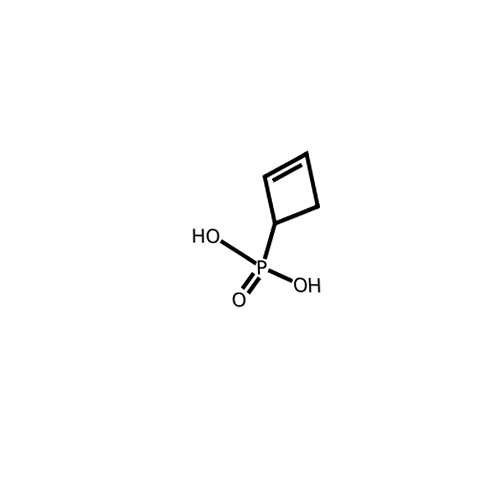 O=P(O)(O)C1C=CC1